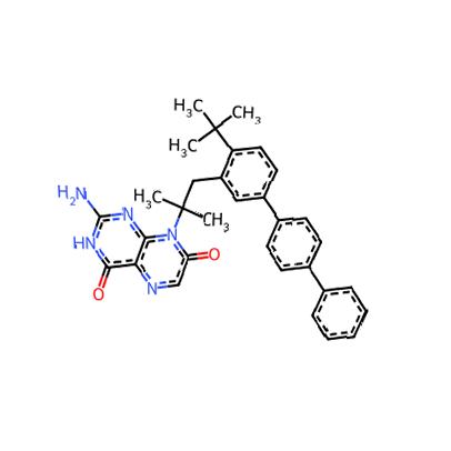 CC(C)(C)c1ccc(-c2ccc(-c3ccccc3)cc2)cc1CC(C)(C)n1c(=O)cnc2c(=O)[nH]c(N)nc21